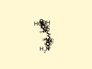 CCN1\C(=C/C=C/C=C/C2=[N+](CC)c3ccc(CN)cc3C2(C)C)C(C)(C)c2cc(P(=O)(O)O)ccc21